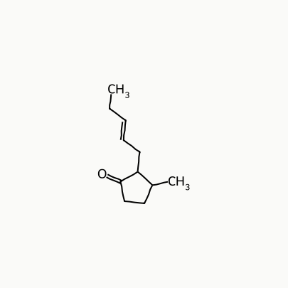 CCC=CCC1C(=O)CCC1C